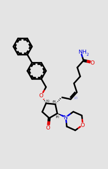 NC(=O)CCC/C=C\C[C@H]1[C@@H](OCc2ccc(-c3ccccc3)cc2)CC(=O)[C@@H]1N1CCOCC1